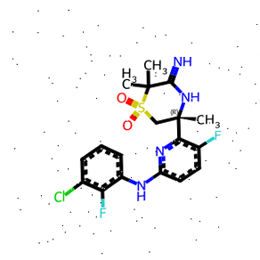 CC1(C)C(=N)N[C@](C)(c2nc(Nc3cccc(Cl)c3F)ccc2F)CS1(=O)=O